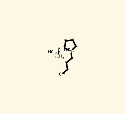 CCCCCCCC.Cl.ClCCCN1CCCC1